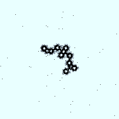 c1ccc(-n2c3ccccc3c3cc(-c4cccc(-c5c6ccccc6c(-c6cccc(-c7ccc8c(c7)-c7ccccc7C8)c6)c6ccccc56)c4)ccc32)cc1